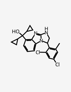 Cc1cc(Cl)cc(Cl)c1C1CNc2nc3c(C(O)(C4CC4)C4CC4)cccc3n21